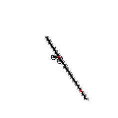 CCCCCCCCCCCCCCCCCCCCCCCC(=O)OC(C[C]=O)CCCCCCCCCCC